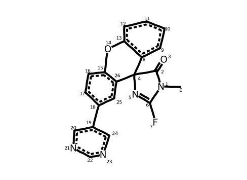 CN1C(=O)C2(N=C1F)c1ccccc1Oc1ccc(-c3cncnc3)cc12